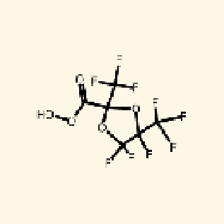 O=C(OO)C1(C(F)(F)F)OC(F)(F)C(F)(C(F)(F)F)O1